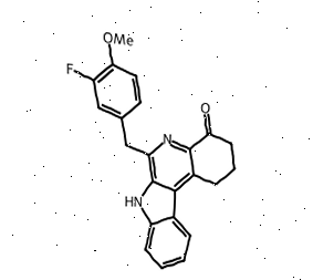 COc1ccc(Cc2nc3c(c4c2[nH]c2ccccc24)CCCC3=O)cc1F